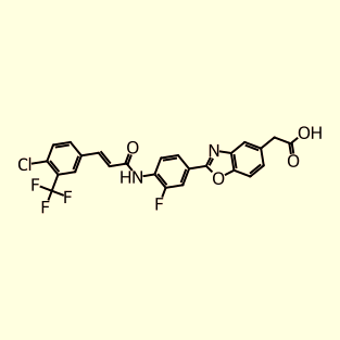 O=C(O)Cc1ccc2oc(-c3ccc(NC(=O)C=Cc4ccc(Cl)c(C(F)(F)F)c4)c(F)c3)nc2c1